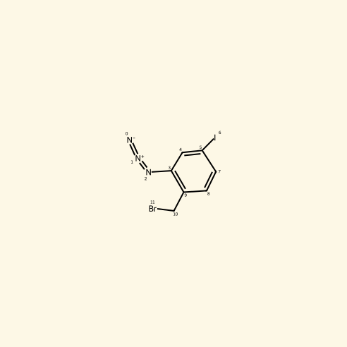 [N-]=[N+]=Nc1cc(I)ccc1CBr